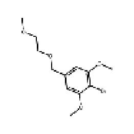 COCCOCc1cc(OC)c(Br)c(OC)c1